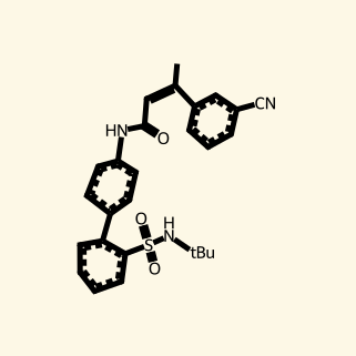 CC(=CC(=O)Nc1ccc(-c2ccccc2S(=O)(=O)NC(C)(C)C)cc1)c1cccc(C#N)c1